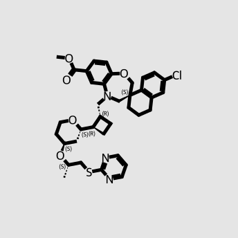 COC(=O)c1ccc2c(c1)N(C[C@@H]1CC[C@H]1[C@@H]1C[C@@H](O[C@@H](C)CSc3ncccn3)CCO1)C[C@@]1(CCCc3cc(Cl)ccc31)CO2